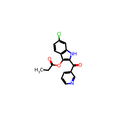 CCC(=O)Oc1c(C(=O)c2cccnc2)[nH]c2cc(Cl)ccc12